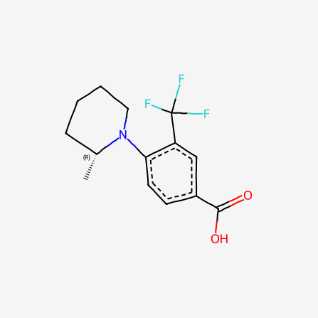 C[C@@H]1CCCCN1c1ccc(C(=O)O)cc1C(F)(F)F